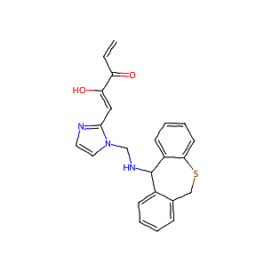 C=CC(=O)/C(O)=C/c1nccn1CNC1c2ccccc2CSc2ccccc21